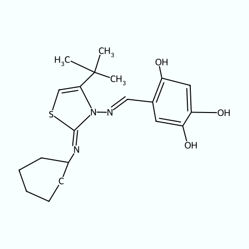 CC(C)(C)c1cs/c(=N\C2CCCCC2)n1/N=C/c1cc(O)c(O)cc1O